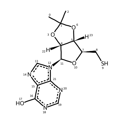 CC1(C)O[C@@H]2[C@H](O1)[C@@H](CS)O[C@H]2n1cnc2c(O)ncnc21